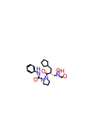 O=CN(O)C[C@@H](CC1CCCC1)C(=O)N1CCCN1C(=O)Nc1ccccc1